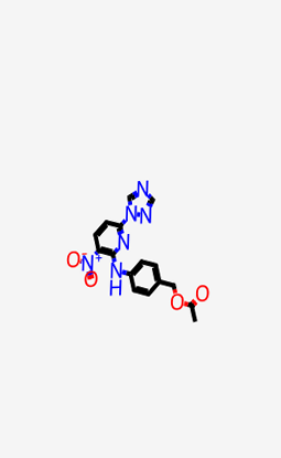 CC(=O)OCc1ccc(Nc2nc(-n3cncn3)ccc2[N+](=O)[O-])cc1